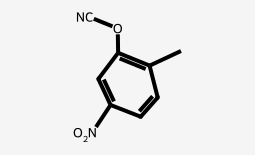 Cc1ccc([N+](=O)[O-])cc1OC#N